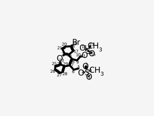 CS(=O)(=O)OCCC1=C(CCOS(C)(=O)=O)c2cc(Br)ccc2Oc2ccccc21